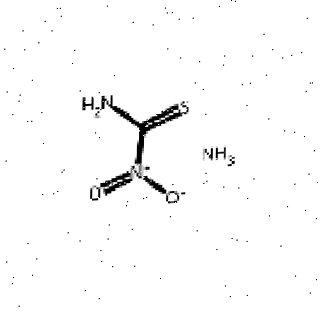 N.NC(=S)[N+](=O)[O-]